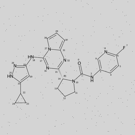 O=C(Nc1ccc(F)nc1)N1CCC[C@@H]1c1nc(Nc2cc(C3CC3)[nH]n2)n2cccc2n1